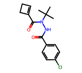 CC(C)(C)N(NC(=O)c1ccc(Cl)cc1)C(=O)C1=CCC1